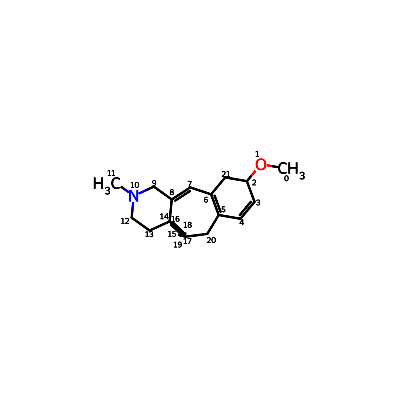 COC1C=CC2=C(C=C3CN(C)CCC34CC=CC=C4C2)C1